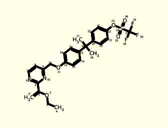 C=C(OCC)c1nccc(COc2ccc(C(C)(C)c3ccc(OS(=O)(=O)C(F)(F)F)cc3)cc2)n1